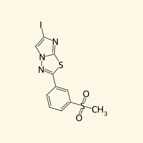 CS(=O)(=O)c1cccc(-c2nn3cc(I)nc3s2)c1